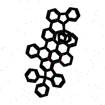 c1ccc(-n2c3ccccc3c3cccc(-c4ccc(N(c5ccccc5-c5ccc6c(c5)C(c5ccccc5)(c5ccccc5)c5ccccc5-6)c5ccccc5-c5cccc6cccc(C7CCCCC7)c56)cc4)c32)cc1